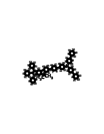 CC1(C)c2cc(-c3ccc(-c4ccc(N(c5ccc(-c6ccccc6)cc5)c5ccc(-c6ccccc6)cc5)cc4)cc3)ccc2-c2cc3c(-c4ccccc4)c(-c4ccccc4)n(-c4ccccc4)c3cc21